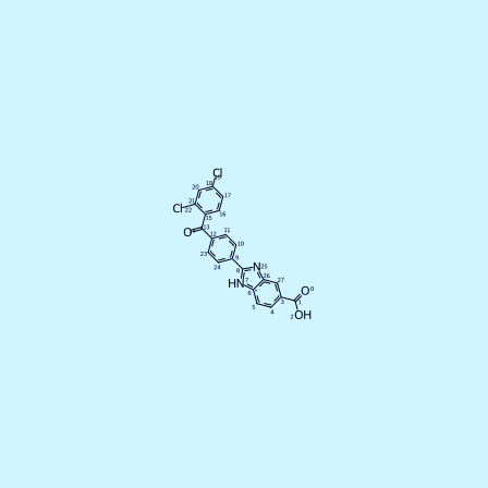 O=C(O)c1ccc2[nH]c(-c3ccc(C(=O)c4ccc(Cl)cc4Cl)cc3)nc2c1